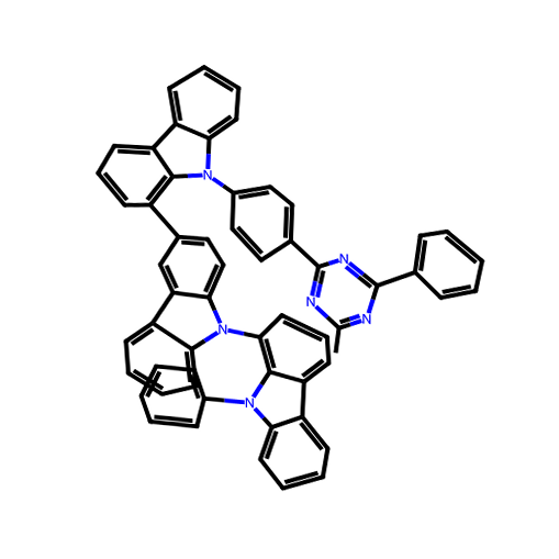 Cc1nc(-c2ccccc2)nc(-c2ccc(-n3c4ccccc4c4cccc(-c5ccc6c(c5)c5ccccc5n6-c5cccc6c7ccccc7n(-c7ccccc7)c56)c43)cc2)n1